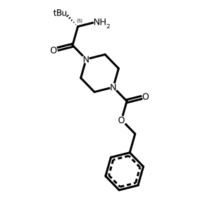 CC(C)(C)[C@H](N)C(=O)N1CCN(C(=O)OCc2ccccc2)CC1